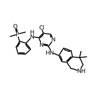 CC1(C)CNCc2cc(Nc3ncc(Cl)c(Nc4ccccc4P(C)(C)=O)n3)ccc21